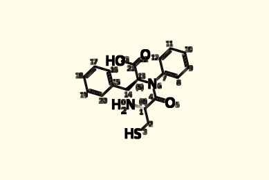 N[C@@H](CS)C(=O)N(c1ccccc1)[C@@H](Cc1ccccc1)C(=O)O